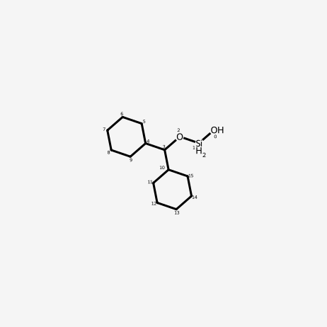 O[SiH2]OC(C1CCCCC1)C1CCCCC1